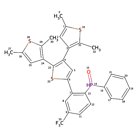 Cc1cc(-c2cc(-c3cc(C(F)(F)F)ccc3[PH](=O)c3ccccc3)sc2-c2cc(C)sc2C)c(C)s1